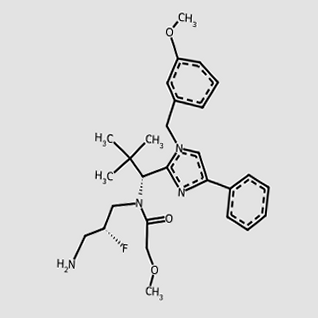 COCC(=O)N(C[C@H](F)CN)[C@@H](c1nc(-c2ccccc2)cn1Cc1cccc(OC)c1)C(C)(C)C